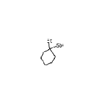 CC[C]1([Sb])CCCCC1